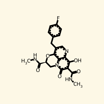 CNC(=O)c1c(O)c2ncc(Cc3ccc(F)cc3)c3c2n(c1=O)C[C@@H](C(=O)NC)O3